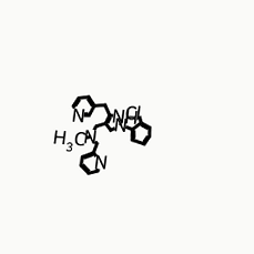 CN(CC1=C(Cc2cccnc2)NN(c2ccccc2Cl)C1)Cc1ccccn1